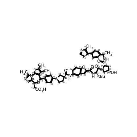 Cc1ncsc1-c1ccc([C@H](C)NC(=O)[C@@H]2C[C@@H](O)CN2C(=O)[C@@H](NC(=O)c2cc3cc(NC(=O)[C@H]4CCN(c5ccc(C6=N[C@@H](CC(=O)O)c7nnc(C)n7-c7sc(C)c(C)c76)cc5)C4)ccc3o2)C(C)(C)C)cc1